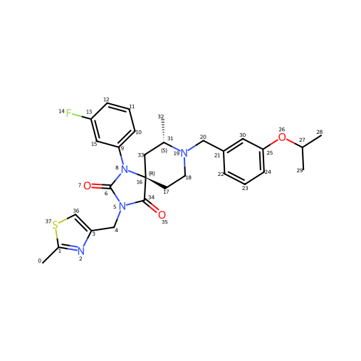 Cc1nc(CN2C(=O)N(c3cccc(F)c3)[C@@]3(CCN(Cc4cccc(OC(C)C)c4)[C@@H](C)C3)C2=O)cs1